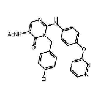 CC(=O)Nc1cnc(Nc2ccc(Oc3cccnn3)cc2)n(Cc2ccc(Cl)cc2)c1=O